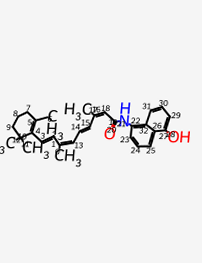 CC(C=CC1=C(C)CCCC1(C)C)=CC=CC(C)=CC(=O)Nc1cccc2c(O)cccc12